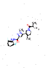 CC1=C(c2cc(C(=O)Nc3c(F)cccc3F)nn2C)CN(C(=O)C(C)C)CC1